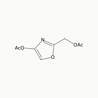 CC(=O)OCc1nc(OC(C)=O)co1